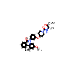 COC(=O)[C@@H](NC(=O)N1CCC(Oc2cccc(NC(=O)c3cccc(C)c3-c3ccc(OC(F)(F)F)cc3)c2)CC1)C(C)C